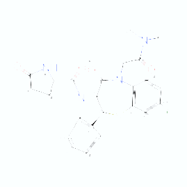 CN(C)C(=O)CN1C(=O)[C@@H](NC(=O)[C@@H]2CCC(=O)N2)[C@H](c2ccccc2)Sc2cc(Cl)ccc21